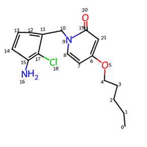 CCCCCOc1ccn(Cc2cccc(N)c2Cl)c(=O)c1